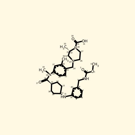 COC(=O)NCc1cccc(N[C@H]2CC[C@H](C(=O)N(C)c3ccc(CN4CCN(C(=O)O)[C@@H](C)C4)c(C)c3)CC2)c1